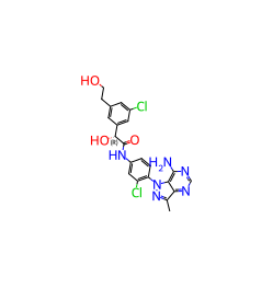 Cc1nn(-c2ccc(NC(=O)[C@H](O)c3cc(Cl)cc(CCO)c3)cc2Cl)c2c(N)ncnc12